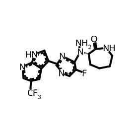 NN(c1nc(-c2c[nH]c3ncc(C(F)(F)F)cc23)ncc1F)[C@H]1CCCCNC1=O